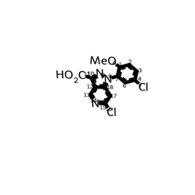 COc1ccc(Cl)cc1-n1nc(C(=O)O)c2cnc(Cl)cc21